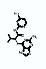 CC(C)[C@H](Sc1nc(N)nc2nc[nH]c12)C(=O)Nc1nccc(O)n1